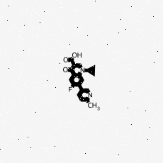 Cc1ccc(-c2cc3c(cc2F)c(=O)c(C(=O)O)cn3C2CC2)cn1